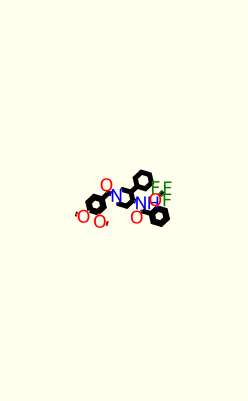 COc1ccc(C(=O)N2CCC(NC(=O)c3ccccc3OC(F)(F)F)C(C3CCCCC3)C2)cc1OC